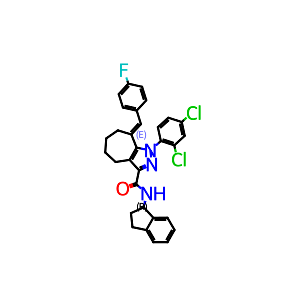 O=C(N[C@@H]1CCc2ccccc21)c1nn(-c2ccc(Cl)cc2Cl)c2c1CCCC/C2=C\c1ccc(F)cc1